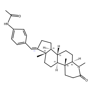 CC(=O)Nc1ccc(/C=C2\CC[C@H]3[C@@H]4CC[C@H]5N(C)C(=O)CC[C@]5(C)[C@H]4CC[C@]23C)cc1